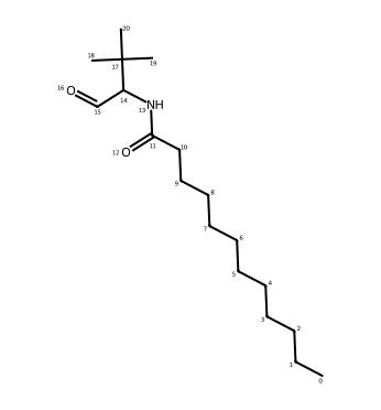 CCCCCCCCCCCC(=O)NC(C=O)C(C)(C)C